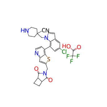 N#CC1(Cn2ccc3cc(Cl)cc(-c4ccnc5cc(CN6C(=O)C7CCC7C6=O)sc45)c32)CCNCC1.O=C(O)C(F)(F)F